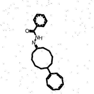 O=C(NN=C1CCCCC(C2=C/C=C\C=C/C=C\2)CCCC1)c1ccccc1